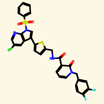 O=C(NCc1ccc(-c2cn(S(=O)(=O)c3ccccc3)c3ncc(Cl)cc23)s1)c1cccn(Cc2ccc(F)c(F)c2)c1=O